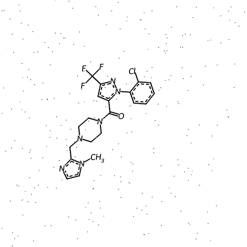 Cn1ccnc1CN1CCN(C(=O)c2cc(C(F)(F)F)nn2-c2ccccc2Cl)CC1